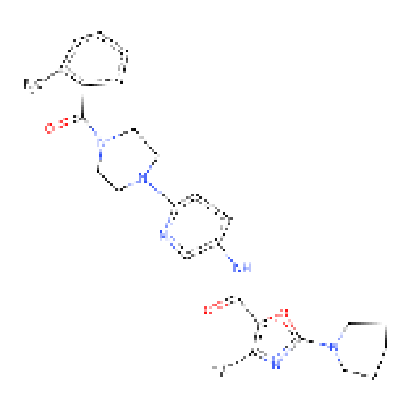 O=C(Nc1ccc(N2CCN(C(=O)c3ccccc3C(F)(F)F)CC2)nc1)c1oc(N2CCCCC2)nc1C(F)(F)F